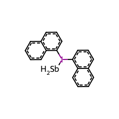 [SbH2][I](c1cccc2ccccc12)c1cccc2ccccc12